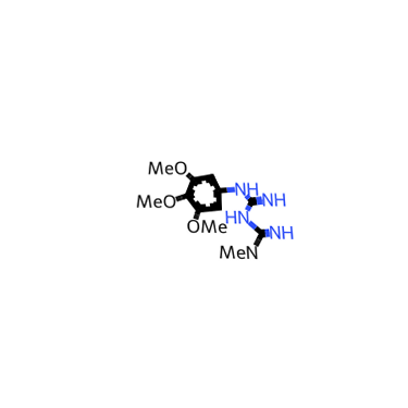 CNC(=N)NC(=N)Nc1cc(OC)c(OC)c(OC)c1